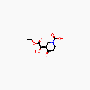 CCOC(=O)C(O)=C1CN(C(=O)O)CCC1=O